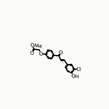 COC(=O)COc1ccc(C(=O)/C=C/c2ccc(O)c(Cl)c2)cc1